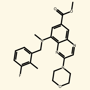 COC(=O)c1cc(N(C)Cc2cccc(F)c2C)c2nc(N3CCOCC3)cnc2c1